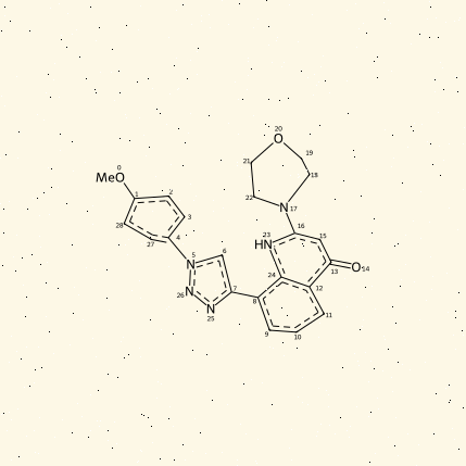 COc1ccc(-n2cc(-c3cccc4c(=O)cc(N5CCOCC5)[nH]c34)nn2)cc1